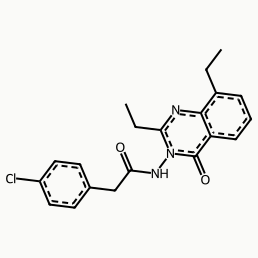 CCc1cccc2c(=O)n(NC(=O)Cc3ccc(Cl)cc3)c(CC)nc12